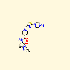 CC(C)C[C@H](NC(=O)C1CCN(Cc2csc(N3CCNCC3)n2)CC1)C(=O)NCC#N